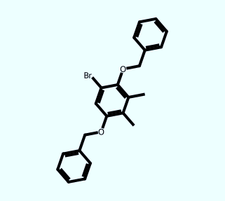 Cc1c(OCc2ccccc2)cc(Br)c(OCc2ccccc2)c1C